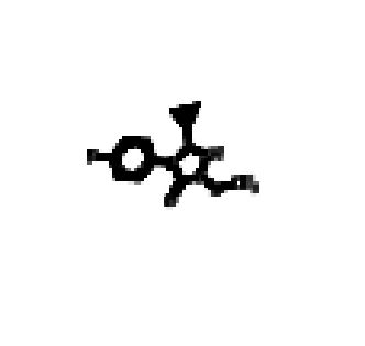 O=C1N(SC(Cl)(Cl)Cl)NC(C2CC2)N1c1ccc(F)cc1